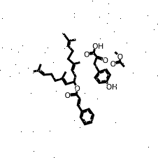 CC(C)=CCC/C(C)=C/CC(/C=C(\C)CCC=C(C)C)OC(=O)/C=C/c1ccccc1.COC(C)=O.O=C(O)C(=O)Cc1ccc(O)cc1